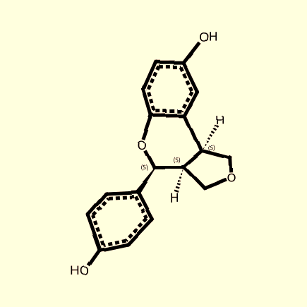 Oc1ccc([C@H]2Oc3ccc(O)cc3[C@H]3COC[C@H]32)cc1